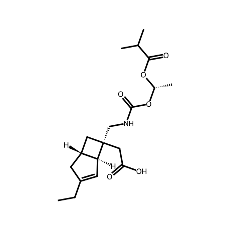 CCC1=C[C@H]2[C@H](C1)C[C@@]2(CNC(=O)O[C@@H](C)OC(=O)C(C)C)CC(=O)O